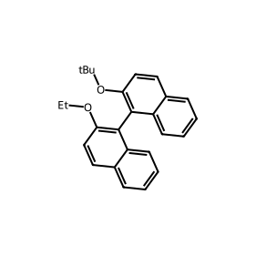 CCOc1ccc2ccccc2c1-c1c(OC(C)(C)C)ccc2ccccc12